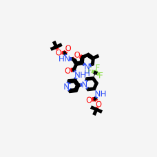 CC1=Cc2oc(NC(=O)OC(C)(C)C)c(C(=O)Nc3cnccc3N3C[C@@H](NC(=O)OC(C)(C)C)C[C@@H](C(F)(F)F)C3)c2NC1